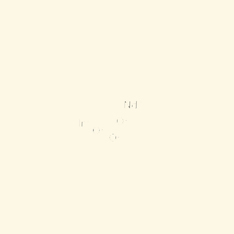 [Ir+3].[Nd+3].[O-2].[O-2].[O-2]